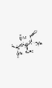 CC(=O)O[C@H]([C@H](OC(C)=O)[C@H](C=S)OC(C)=O)[C@@H](C)OC(C)=O